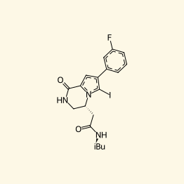 CC[C@H](C)NC(=O)C[C@@H]1CNC(=O)c2cc(-c3cccc(F)c3)c(I)n21